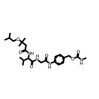 CNC(=O)OCc1ccc(NC(=O)CNC(=O)C(NC(=O)CC(C)(C)OCC(C)C)C(C)C)cc1